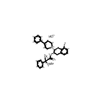 CO[C@@](C(=O)O[C@@H]1Cc2cccc(F)c2C[C@H]1N1CCC(c2ccccc2)CC1)(c1ccccc1)C(F)(F)F.Cl